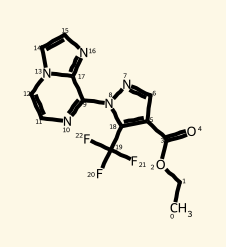 CCOC(=O)c1cnn(-c2nccn3ccnc23)c1C(F)(F)F